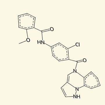 COc1ccccc1C(=O)Nc1ccc(C(=O)N2C=C3C=CNN3c3ccccc32)c(Cl)c1